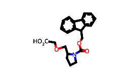 O=C(O)COCC1CCCN1C(=O)OCC1c2ccccc2-c2ccccc21